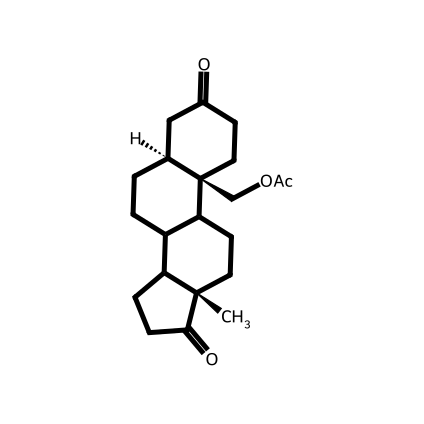 CC(=O)OC[C@]12CCC(=O)C[C@@H]1CCC1C2CC[C@]2(C)C(=O)CCC12